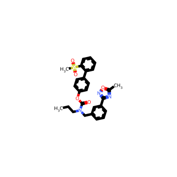 CCCN(Cc1cccc(-c2noc(C)n2)c1)C(=O)Oc1ccc(-c2ccccc2S(C)(=O)=O)cc1